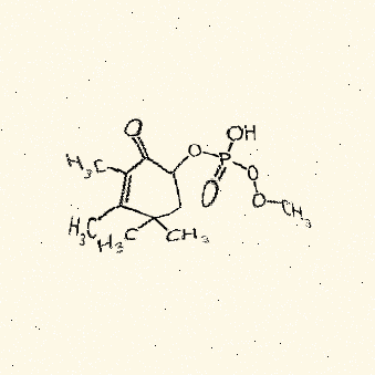 COOP(=O)(O)OC1CC(C)(C)C(C)=C(C)C1=O